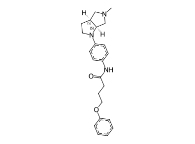 CN1C[C@@H]2CCN(c3ccc(NC(=O)CCCOc4ccccc4)cc3)[C@@H]2C1